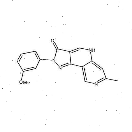 COc1cccc(-n2nc3c4cnc(C)cc4[nH]cc-3c2=O)c1